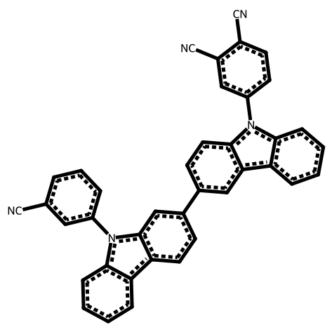 N#Cc1cccc(-n2c3ccccc3c3ccc(-c4ccc5c(c4)c4ccccc4n5-c4ccc(C#N)c(C#N)c4)cc32)c1